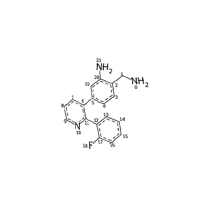 NCc1ccc(-c2cccnc2-c2ccccc2F)cc1N